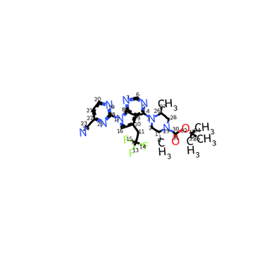 C[C@@H]1CN(c2ncnc3c2c(CC(F)(F)F)cn3-c2nccc(C#N)n2)[C@@H](C)CN1C(=O)OC(C)(C)C